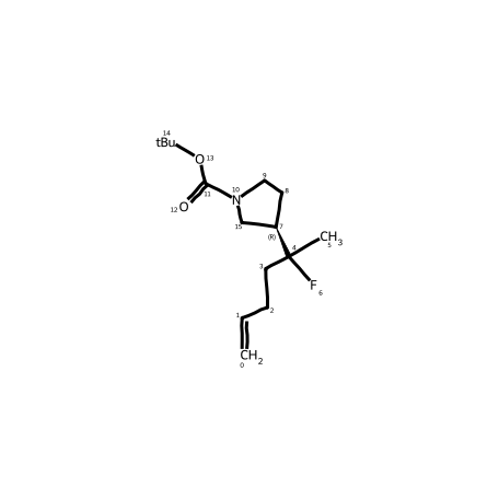 C=CCCC(C)(F)[C@@H]1CCN(C(=O)OC(C)(C)C)C1